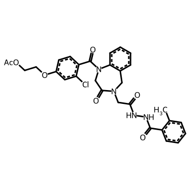 CC(=O)OCCOc1ccc(C(=O)N2CC(=O)N(CC(=O)NNC(=O)c3ccccc3C)Cc3ccccc32)c(Cl)c1